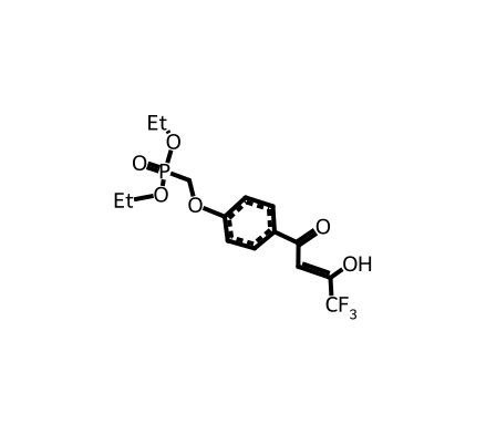 CCOP(=O)(COc1ccc(C(=O)/C=C(\O)C(F)(F)F)cc1)OCC